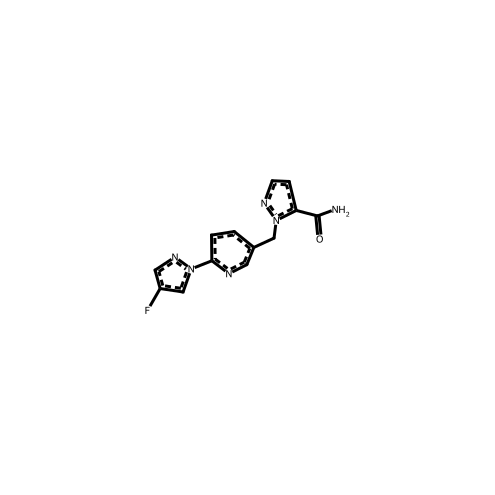 NC(=O)c1ccnn1Cc1ccc(-n2cc(F)cn2)nc1